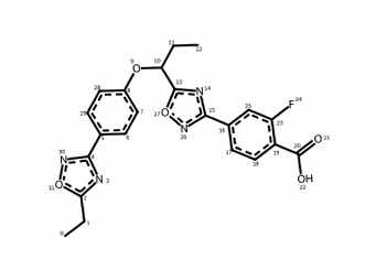 CCc1nc(-c2ccc(OC(CC)c3nc(-c4ccc(C(=O)O)c(F)c4)no3)cc2)no1